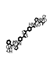 COC(=O)N[C@H](C(=O)N1CCCC1c1ncc(-c2ccc(-c3csc4c(-c5ccc6[nH]c(C7CCCN7C(=O)[C@H](NC(=O)OC)c7ccccc7)nc6c5)csc34)cc2)[nH]1)C(C)C